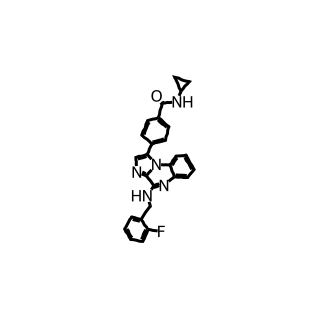 O=C(NC1CC1)c1ccc(-c2cnc3c(NCc4ccccc4F)nc4ccccc4n23)cc1